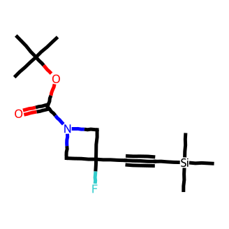 CC(C)(C)OC(=O)N1CC(F)(C#C[Si](C)(C)C)C1